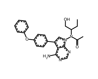 CCC(CO)N(C(C)=O)n1cc(-c2ccc(Oc3ccccc3)cc2)c2c(N)ncnc21